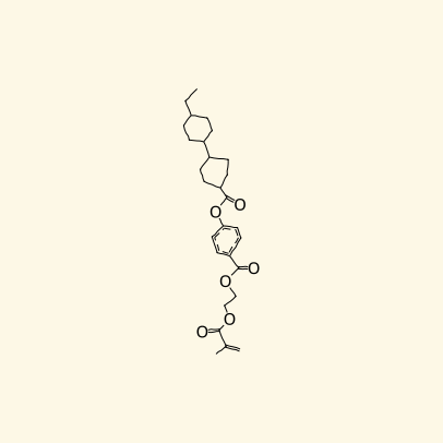 C=C(C)C(=O)OCCOC(=O)c1ccc(OC(=O)C2CCC(C3CCC(CC)CC3)CC2)cc1